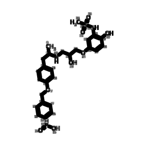 CC(Cc1ccc(OCc2ccc([PH](=O)O)cc2)cc1)NCC(O)COc1ccc(O)c(NS(C)(=O)=O)c1